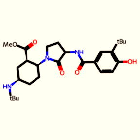 COC(=O)[C@@H]1C[C@H](NC(C)(C)C)CC[C@@H]1N1CCC(NC(=O)c2ccc(O)c(C(C)(C)C)c2)C1=O